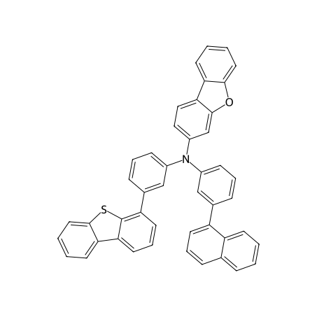 c1cc(-c2cccc3ccccc23)cc(N(c2cccc(-c3cccc4c3sc3ccccc34)c2)c2ccc3c(c2)oc2ccccc23)c1